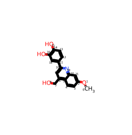 COc1ccc2c(CO)cc(-c3ccc(O)c(O)c3)nc2c1